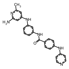 Cc1cc(Nc2cccc(NC(=O)c3ccc(Nc4ccncc4)cc3)c2)cc(N)n1